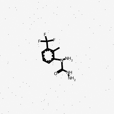 Cc1c(N(N)C(=O)NN)cccc1C(F)(F)F